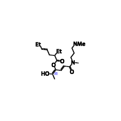 CCC=CCC(CC)C(=O)O/C(C=CC(=O)N(C)CCCNC)=C(/C)O